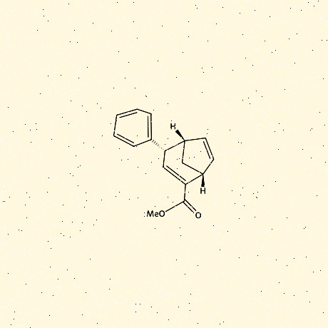 COC(=O)C1=C[C@H](c2ccccc2)[C@@H]2C=C[C@H]1C2